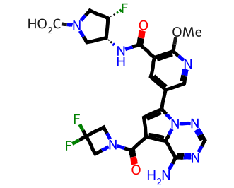 COc1ncc(-c2cc(C(=O)N3CC(F)(F)C3)c3c(N)ncnn23)cc1C(=O)N[C@@H]1CN(C(=O)O)C[C@@H]1F